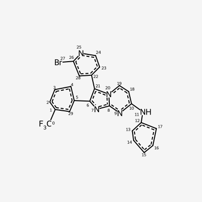 FC(F)(F)c1cccc(-c2nc3nc(Nc4ccccc4)ccn3c2-c2ccnc(Br)c2)c1